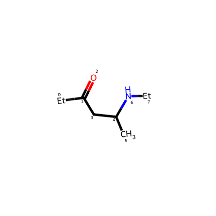 [CH2]CC(=O)CC(C)NCC